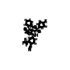 CS(=O)(=O)N[C@@](Cc1ccccc1)(CS(=O)(=O)c1ccc(F)cc1)C(=O)Nc1ccc(C#N)c(C(F)(F)F)c1